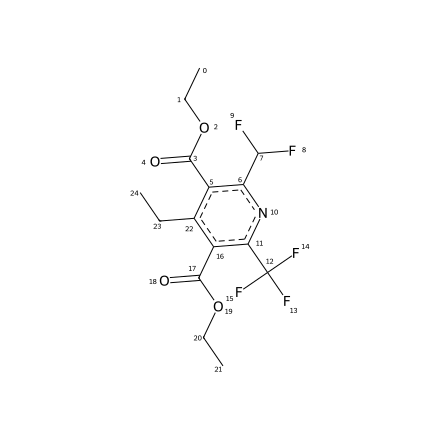 CCOC(=O)c1c(C(F)F)nc(C(F)(F)F)c(C(=O)OCC)c1CC